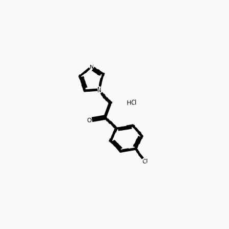 Cl.O=C(Cn1ccnc1)c1ccc(Cl)cc1